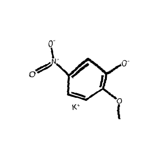 COc1ccc([N+](=O)[O-])cc1[O-].[K+]